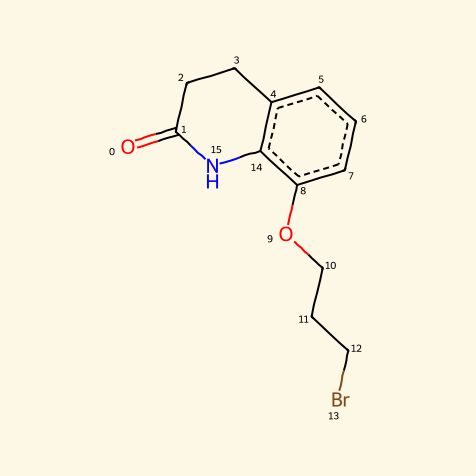 O=C1CCc2cccc(OCCCBr)c2N1